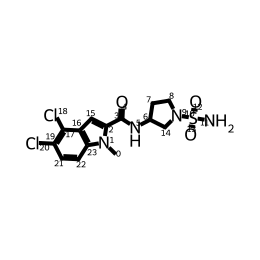 Cn1c(C(=O)NC2CCN(S(N)(=O)=O)C2)cc2c(Cl)c(Cl)ccc21